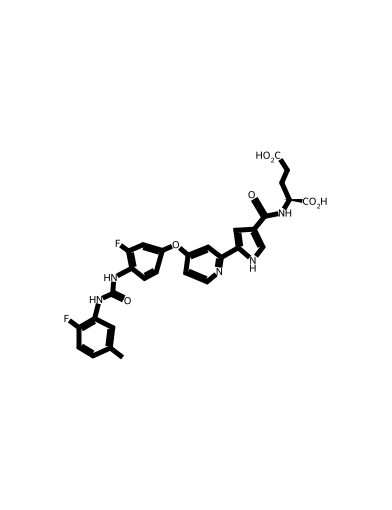 Cc1ccc(F)c(NC(=O)Nc2ccc(Oc3ccnc(-c4cc(C(=O)N[C@@H](CCC(=O)O)C(=O)O)c[nH]4)c3)cc2F)c1